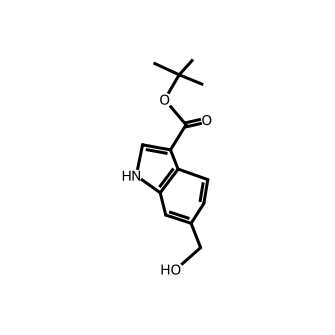 CC(C)(C)OC(=O)c1c[nH]c2cc(CO)ccc12